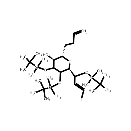 C=CCC[C@@H]1O[C@@H](C(/C=C/I)O[Si](C)(C)C(C)(C)C)C(O[Si](C)(C)C(C)(C)C)C(O[Si](C)(C)C(C)(C)C)[C@H]1O